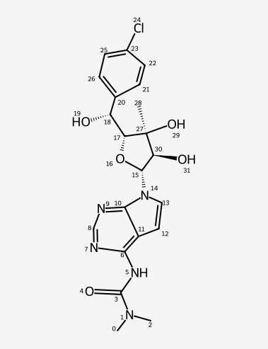 CN(C)C(=O)Nc1ncnc2c1ccn2[C@@H]1O[C@H]([C@H](O)c2ccc(Cl)cc2)[C@@](C)(O)[C@H]1O